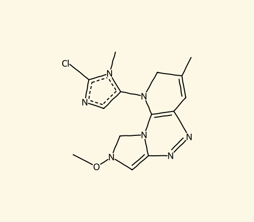 CON1C=C2N=NC3=C(N2C1)N(c1cnc(Cl)n1C)CC(C)=C3